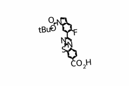 CC(C)(C)OC(=O)n1ccc2cc(F)c(-c3cn4c(n3)sc3cc(C(=O)O)ccc34)cc21